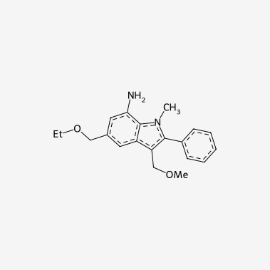 CCOCc1cc(N)c2c(c1)c(COC)c(-c1ccccc1)n2C